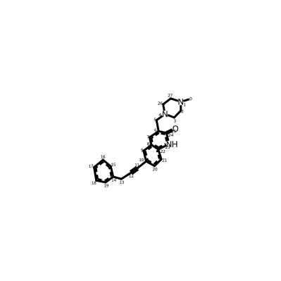 CN1CCN(Cc2cc3cc(C#CCc4ccccc4)ccc3[nH]c2=O)CC1